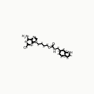 Nc1nc(Cl)nc2c1ncn2CCCCOC(=O)NCc1ccc2cc[nH]c2c1